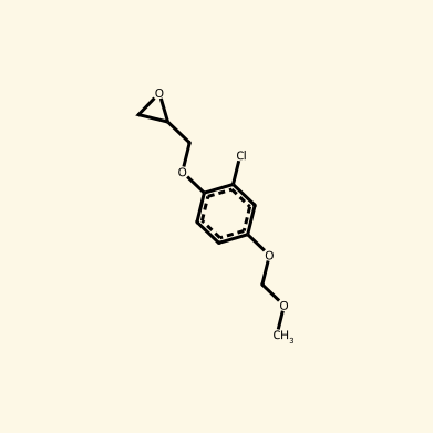 COCOc1ccc(OCC2CO2)c(Cl)c1